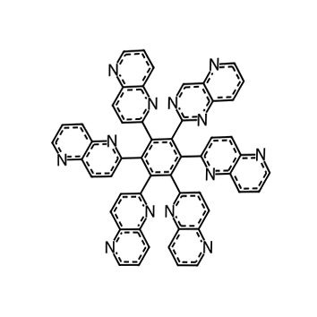 c1cnc2ccc(-c3c(-c4ccc5ncccc5n4)c(-c4ccc5ncccc5n4)c(-c4ncc5ncccc5n4)c(-c4ccc5ncccc5n4)c3-c3ccc4ncccc4n3)nc2c1